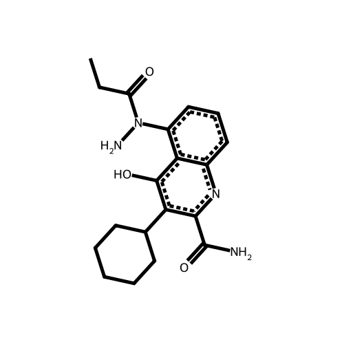 CCC(=O)N(N)c1cccc2nc(C(N)=O)c(C3CCCCC3)c(O)c12